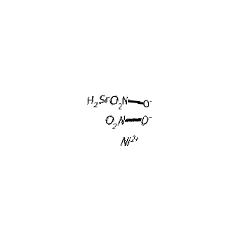 O=[N+]([O-])[O-].O=[N+]([O-])[O-].[Ni+2].[SrH2]